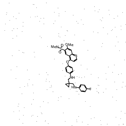 CNS(=O)(=O)c1cc2c(Oc3ccc(NCC4(CNc5ccc(F)cc5)CC4)cc3)ccnc2cc1OC